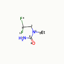 CCN(CC(F)F)C(N)=O